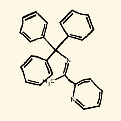 CC(=NC(c1ccccc1)(c1ccccc1)c1ccccc1)c1ccccn1